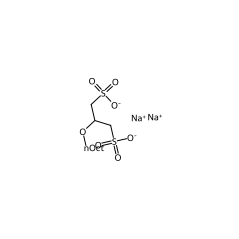 CCCCCCCCOC(CS(=O)(=O)[O-])CS(=O)(=O)[O-].[Na+].[Na+]